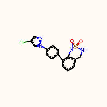 O=S1(=O)NCc2cccc(-c3ccc(-n4cc(Cl)cn4)cc3)c2N1